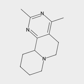 Cc1nc(C)c2c(n1)C1CCCCN1CC2